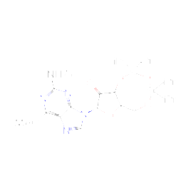 COc1nc(NC(C)=O)nc2c1ncn2[C@@H]1O[C@@H]2CO[Si](C(C)C)(C(C)C)O[Si](C(C)C)(C(C)C)OC2C1=O